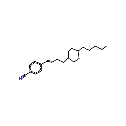 CCCCCC1CCC(CCC=Cc2ccc(C#N)cc2)CC1